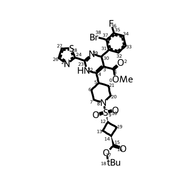 COC(=O)C1=C(C2CCN(S(=O)(=O)[C@H]3C[C@H](C(=O)OC(C)(C)C)C3)CC2)NC(c2nccs2)=NC1c1cccc(F)c1Br